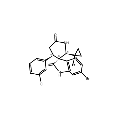 CCC1([C@@H]2NC(=O)C[C@H](c3cccc(Cl)c3)[C@@]23C(=O)Nc2cc(Br)ccc23)CC1